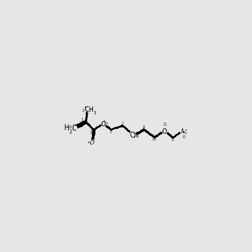 C=C(C)C(=O)OCCOCCOCC(C)=O